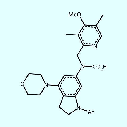 COc1c(C)cnc(CN(C(=O)O)c2cc(N3CCOCC3)c3c(c2)N(C(C)=O)CC3)c1C